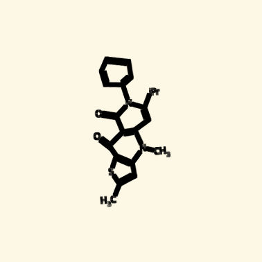 Cc1cc2c(s1)c(=O)c1c(=O)n(-c3ccccc3)c(C(C)C)cc1n2C